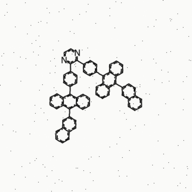 c1ccc2cc(-c3c4ccccc4c(-c4ccc(-c5nccnc5-c5ccc(-c6c7ccccc7c(-c7ccc8ccccc8c7)c7ccccc67)cc5)cc4)c4ccccc34)ccc2c1